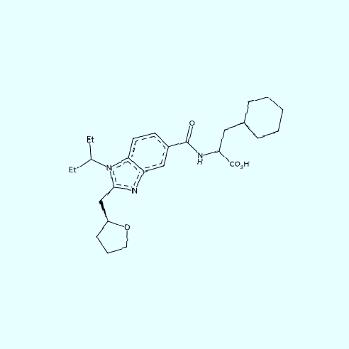 CCC(CC)n1c(C[C@@H]2CCCO2)nc2cc(C(=O)NC(CC3CCCCC3)C(=O)O)ccc21